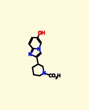 O=C(O)N1CCCC(c2cn3cc(O)ccc3n2)C1